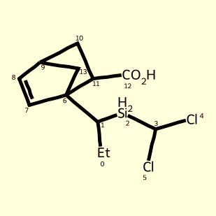 CCC([SiH2]C(Cl)Cl)C12C=CC(CC1C(=O)O)C2